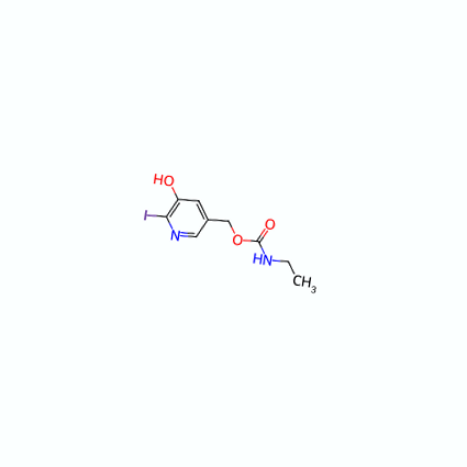 CCNC(=O)OCc1cnc(I)c(O)c1